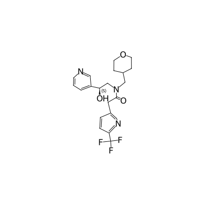 O=C(Cc1ccc(C(F)(F)F)nc1)N(CC1CCOCC1)C[C@@H](O)c1cccnc1